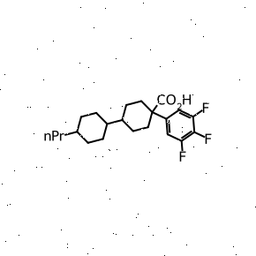 CCCC1CCC(C2CCC(C(=O)O)(c3cc(F)c(F)c(F)c3)CC2)CC1